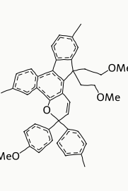 COCCC1(CCOC)c2cc(C)ccc2-c2c1c1c(c3cc(C)ccc23)OC(c2ccc(C)cc2)(c2ccc(OC)cc2)C=C1